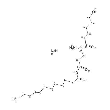 CCCCCCCCCCCC(=O)OC(=O)CC[C@H](N)C(=O)OCCCCO.[NaH]